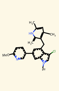 C=C1NC(C)=CC(C)=C1Cc1cc(-c2ccc(OC)nc2)cc2c1c(Cl)cn2C(C)C